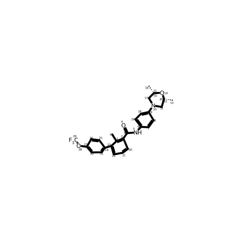 Cc1c(C(=O)Nc2ccc(N3C[C@@H](C)O[C@@H](C)C3)cc2)cccc1-c1ccc(OC(F)(F)F)cc1